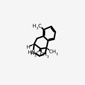 Cc1cccc2c1C[C@H]1NCC[C@]2(C)C1(C)C